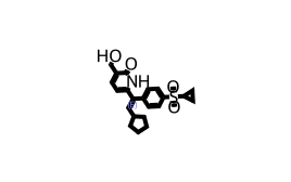 O=c1[nH]c(/C(=C/C2CCCC2)c2ccc(S(=O)(=O)C3CC3)cc2)ccc1CO